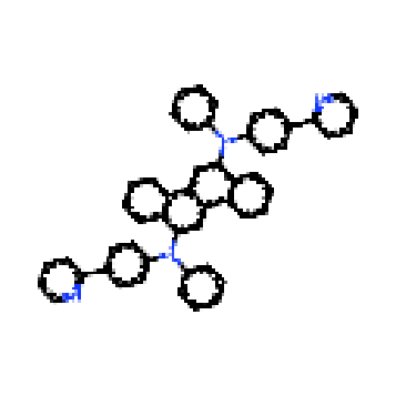 c1ccc(N(c2ccc(-c3ccccn3)cc2)c2cc3c4ccccc4c(N(c4ccccc4)c4ccc(-c5ccccn5)cc4)cc3c3ccccc23)cc1